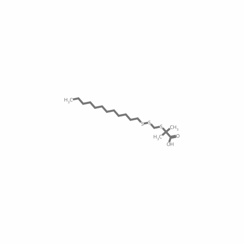 CCCCCCCCCCCCSSCSC(C)(C)C(=O)O